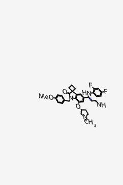 COc1ccc(CN2C(=O)C3(CCC3)c3cc(/C(=C/C=N)Nc4ccc(F)cc4F)cc(OC4CCN(C)C4)c32)cc1